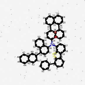 c1ccc(-c2cccc3c2sc2c(N(c4ccc(-c5cccc6cccc(-c7ccccc7)c56)cc4)c4ccc(-c5ccc6ccccc6c5)c5ccccc45)cccc23)cc1